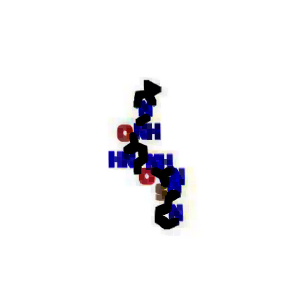 CC1NC=C(C(=O)NCCN2CCC3(CC3)C2)C=C1NC(=O)c1cnn2cc(-c3ccccn3)sc12